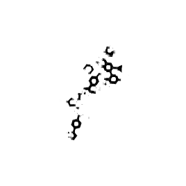 CCn1nccc1-c1ccc([C@H](CO)NC(=O)[C@@H]2C[C@@H](O)CN2C(=O)C(C(C)C)n2cc3c(n2)c(=O)[nH]c2cc(COc4c(-c5c(C)c(F)cc6[nH]ncc56)c(C5CC5)cc5c(N6C[C@@H]7C[C@H]6CN7)nc(OC6CCOCC6)nc45)ccc23)cc1